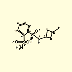 CN1CC(NS(=O)(=O)c2ccccc2S(N)(=O)=O)C1